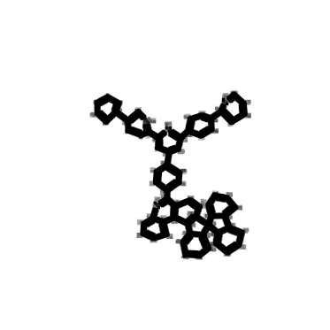 c1ccc(-c2ccc(-c3cc(-c4ccc(-c5nc6ccccc6c6c7c(ccc56)C5(c6ccccc6-c6ccccc65)c5ccccc5-7)cc4)cc(-c4ccc(-c5ccccn5)cc4)n3)nc2)cc1